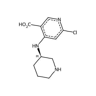 O=C(O)c1cnc(Cl)cc1N[C@@H]1CCCNC1